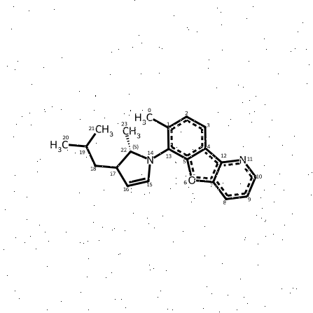 Cc1ccc2c(oc3cccnc32)c1N1C=CC(CC(C)C)[C@@H]1C